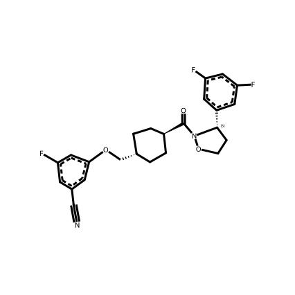 N#Cc1cc(F)cc(OC[C@H]2CC[C@H](C(=O)N3OCC[C@H]3c3cc(F)cc(F)c3)CC2)c1